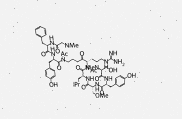 CNCC(=O)N[C@H](Cc1ccccc1)C(=O)N[C@H](Cc1ccc(O)cc1)C(=O)N(CCCC(=O)[C@H](CCCNC(=N)N)N(C(C)=O)C(=O)[C@H](CC(C)C)NC(=O)[C@@H](COC)NC(=O)[C@H](Cc1ccc(O)cc1)NC(=O)[C@H](CO)NC)C(C)=O